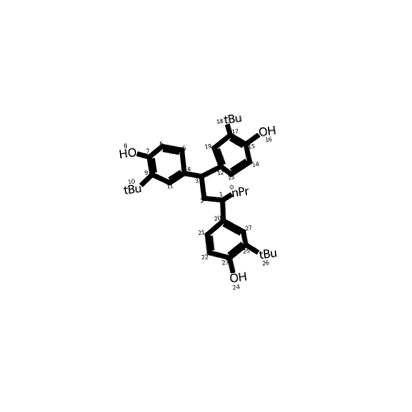 CCCC(CC(c1ccc(O)c(C(C)(C)C)c1)c1ccc(O)c(C(C)(C)C)c1)c1ccc(O)c(C(C)(C)C)c1